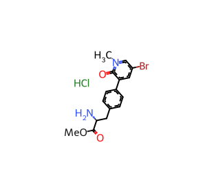 COC(=O)[C@@H](N)Cc1ccc(-c2cc(Br)cn(C)c2=O)cc1.Cl